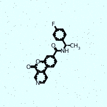 C[C@@H](NC(=O)c1ccc2c(c1)oc(=O)c1cnccc12)c1ccc(F)cc1